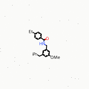 CCc1ccc(C(=O)NCc2cc(CC(C)C)cc(OC)c2)cc1